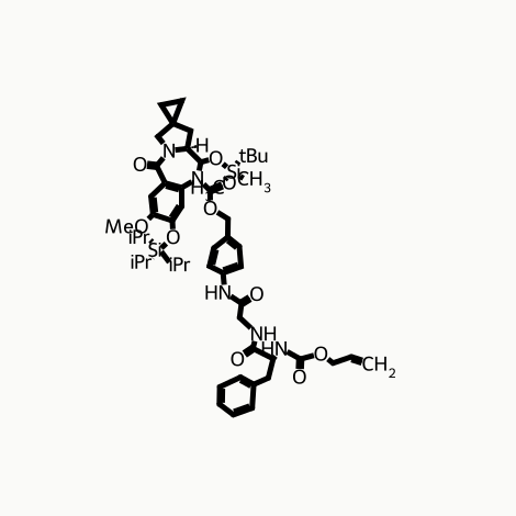 C=CCOC(=O)NC(Cc1ccccc1)C(=O)NCC(=O)Nc1ccc(COC(=O)N2c3cc(O[Si](C(C)C)(C(C)C)C(C)C)c(OC)cc3C(=O)N3CC4(CC4)C[C@H]3C2O[Si](C)(C)C(C)(C)C)cc1